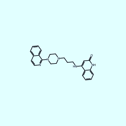 O=c1cc(NCCCN2CCN(c3nccc4ccccc34)CC2)c2ccccc2[nH]1